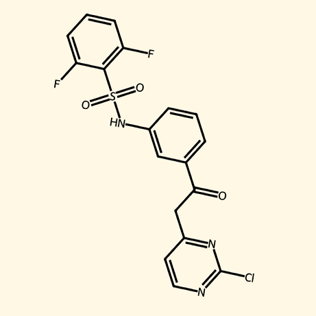 O=C(Cc1ccnc(Cl)n1)c1cccc(NS(=O)(=O)c2c(F)cccc2F)c1